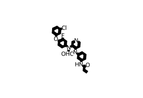 C=CC(=O)Nc1cccc(N(C=O)c2ccncc2N(C)c2ccc(Oc3cccc(Cl)c3)c(F)c2)c1